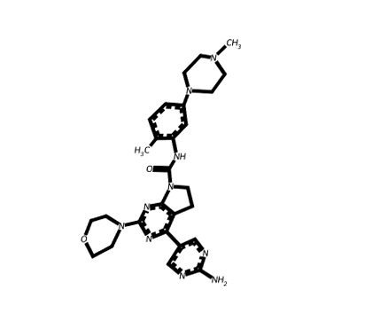 Cc1ccc(N2CCN(C)CC2)cc1NC(=O)N1CCc2c(-c3cnc(N)nc3)nc(N3CCOCC3)nc21